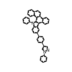 c1ccc(-n2cc(-c3ccc(-c4ccc5c(c4)c4c6ccccc6c6ccc7ccccc7c6c4n5-c4ccccc4)cc3)cn2)cc1